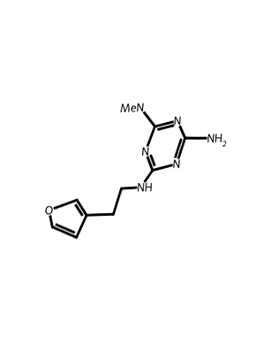 CNc1nc(N)nc(NCCc2ccoc2)n1